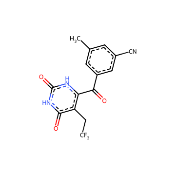 Cc1cc(C#N)cc(C(=O)c2[nH]c(=O)[nH]c(=O)c2CC(F)(F)F)c1